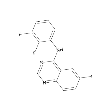 Fc1cccc(Nc2ncnc3ccc(I)cc23)c1F